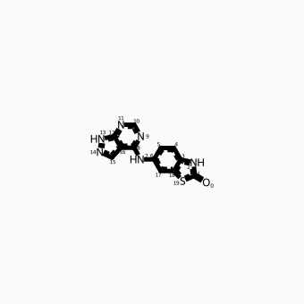 O=c1[nH]c2ccc(Nc3ncnc4[nH]ncc34)cc2s1